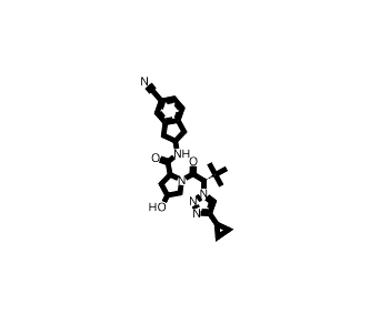 CC(C)(C)[C@@H](C(=O)N1CC(O)CC1C(=O)NC1Cc2ccc(C#N)cc2C1)n1cc(C2CC2)nn1